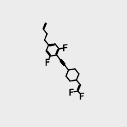 C=CCCc1cc(F)c(C#CC2CCC(C=C(F)F)CC2)c(F)c1